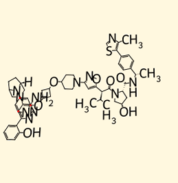 Cc1ncsc1-c1ccc([C@H](C)NC(=O)[C@@H]2C[C@@H](O)CN2C(=O)[C@H](c2cc(N3CCC(OC4CC(Oc5cc(N6C7CC[C@@H]6CN(c6cc(-c8ccccc8O)nnc6N)C7)ccn5)C4)CC3)no2)C(C)C)cc1